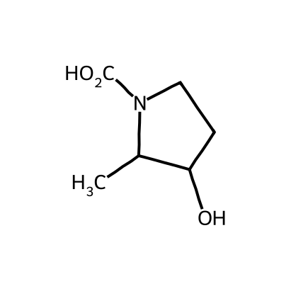 CC1C(O)CCN1C(=O)O